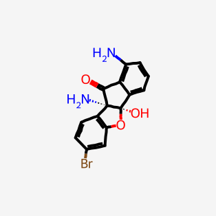 Nc1cccc2c1C(=O)[C@]1(N)c3ccc(Br)cc3O[C@]21O